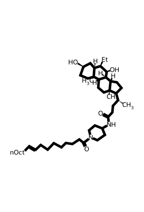 CCCCCCCCC=CCCCCCCCC(=O)N1CCC(NC(=O)CC[C@@H](C)C2CC[C@H]3[C@@H]4[C@H](O)[C@H](CC)[C@@H]5C[C@H](O)CC[C@]5(C)[C@H]4CC[C@]23C)CC1